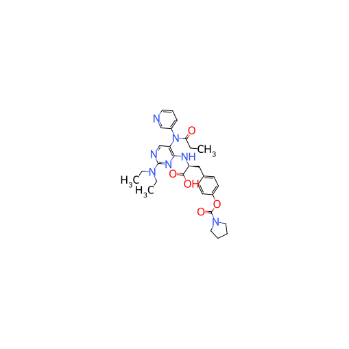 CCC(=O)N(c1cccnc1)c1cnc(N(CC)CC)nc1N[C@@H](Cc1ccc(OC(=O)N2CCCC2)cc1)C(=O)O